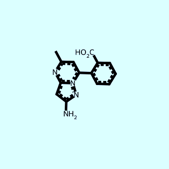 Cc1cc(-c2ccccc2C(=O)O)n2nc(N)cc2n1